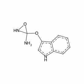 NC1(Oc2c[nH]c3ccccc23)NO1